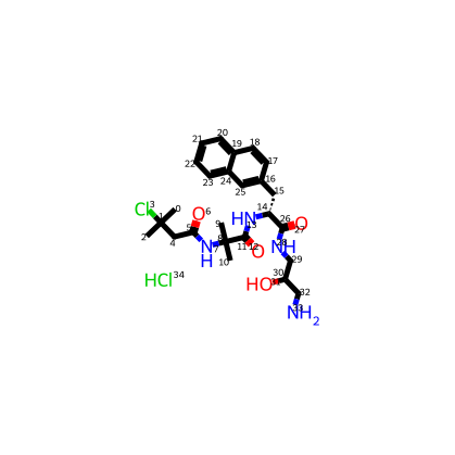 CC(C)(Cl)CC(=O)NC(C)(C)C(=O)N[C@H](Cc1ccc2ccccc2c1)C(=O)NCC(O)CN.Cl